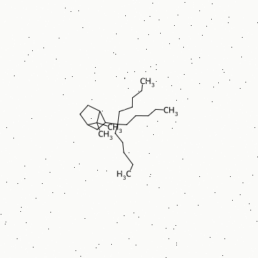 CCCCCC(CCCCC)(CCCCC)C1CC2CC[C]1C2(C)C